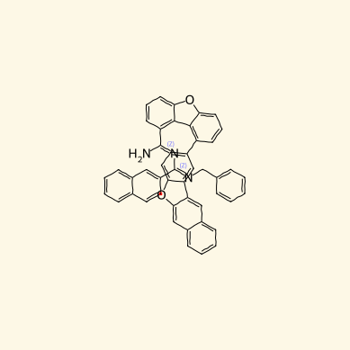 N/C(=N\C(=N/Cc1ccccc1)c1ccc2ccccc2c1)c1cccc2oc3cccc(-c4ccc5oc6cc7ccccc7cc6c5c4)c3c12